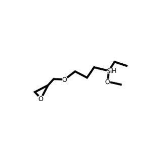 CC[SiH](CCCOCC1CO1)OC